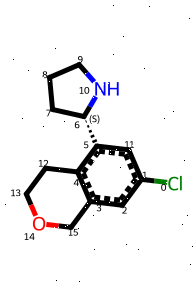 Clc1cc2c(c([C@@H]3CCCN3)c1)CCOC2